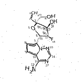 C=C[C@]1(CO)O[C@@H](c2ccc3c(N)ncnn23)[C@H](F)[C@@H]1O